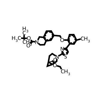 CCOC(=O)[C@@]12CCN(c3nc(-c4cc(C)ccc4OCc4ccc5c(c4)CCN(C(=O)OC(C)(C)C)C5)cs3)CC1C2